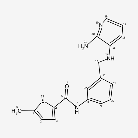 Cc1ccc(C(=O)Nc2cccc(CNc3cccnc3N)c2)s1